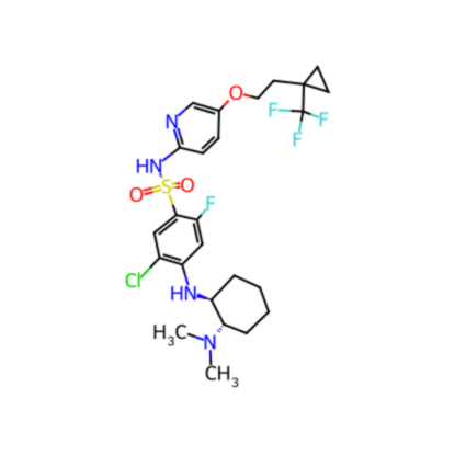 CN(C)[C@H]1CCCC[C@@H]1Nc1cc(F)c(S(=O)(=O)Nc2ccc(OCCC3(C(F)(F)F)CC3)cn2)cc1Cl